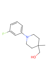 CC1(CO)CCN(c2cccc(F)c2)CC1